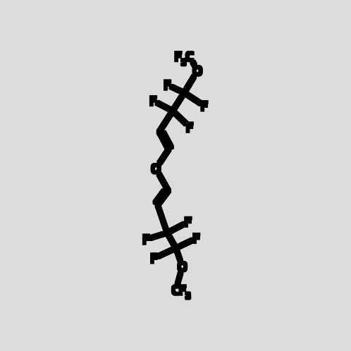 FC(F)(F)OC(F)(F)C(F)(F)C=COC=CC(F)(F)C(F)(F)OC(F)(F)F